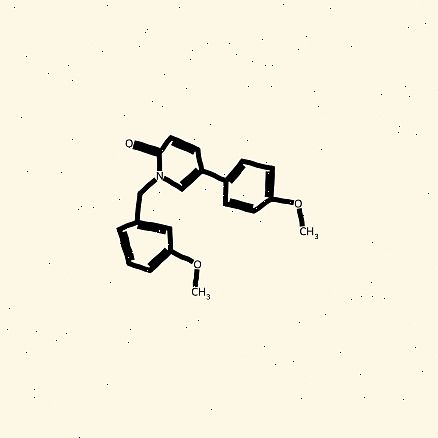 COc1ccc(-c2ccc(=O)n(Cc3cccc(OC)c3)c2)cc1